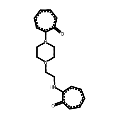 O=c1cccccc1NCCN1CCN(c2cccccc2=O)CC1